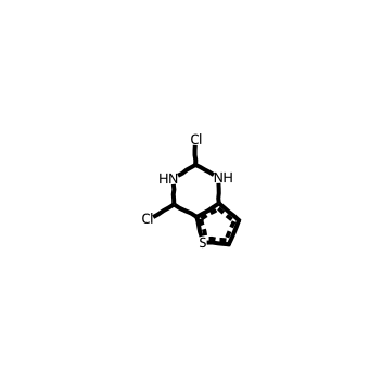 ClC1Nc2ccsc2C(Cl)N1